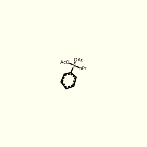 CCC[Si](OC(C)=O)(OC(C)=O)c1ccccc1